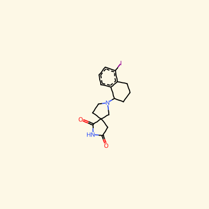 O=C1CC2(CCN(C3CCCc4c(I)cccc43)C2)C(=O)N1